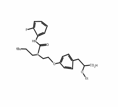 CCOC(Cc1ccc(OCCN(CCC(C)(C)C)C(=O)Nc2ccccc2F)cc1)C(=O)O